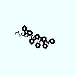 CC1(C)c2ccccc2-c2ccc(-n3c4ccccc4c4c3ccc3c5ccc6c(c7ccccc7n6-c6ccccc6)c5n(-c5ccccc5)c34)cc21